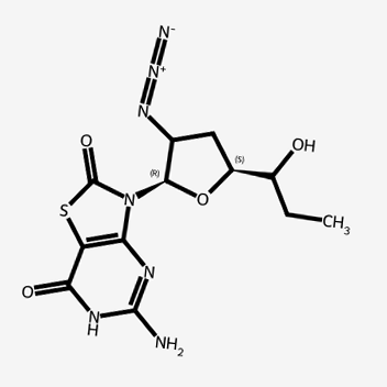 CCC(O)[C@@H]1CC(N=[N+]=[N-])[C@H](n2c(=O)sc3c(=O)[nH]c(N)nc32)O1